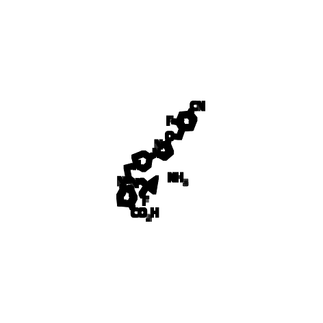 N.N#Cc1ccc(COc2ccn(C3CCN(Cc4nc5ccc(C(=O)O)cc5n4CC4(CF)CC4)CC3)n2)c(F)c1